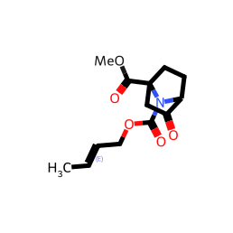 C/C=C/COC(=O)N1C2CCC1(C(=O)OC)CC2=O